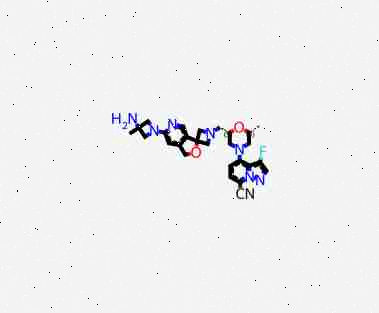 C[C@@H]1CN(c2ccc(C#N)n3ncc(F)c23)C[C@H](CN2CC3(C2)OCc2cc(N4CC(C)(N)C4)ncc23)O1